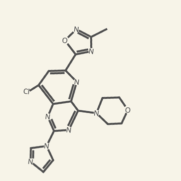 Cc1noc(-c2cc(Cl)c3nc(-n4ccnc4)nc(N4CCOCC4)c3n2)n1